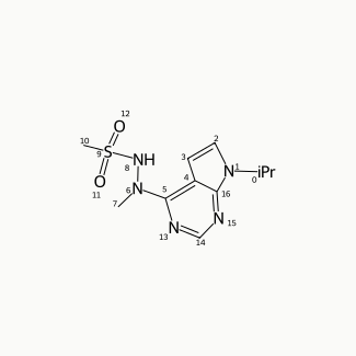 CC(C)n1ccc2c(N(C)NS(C)(=O)=O)ncnc21